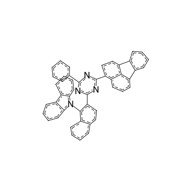 c1ccc(-c2nc(-c3ccc4ccccc4c3-n3c4ccccc4c4ccccc43)nc(-c3ccc4c5c(cccc35)-c3ccccc3-4)n2)cc1